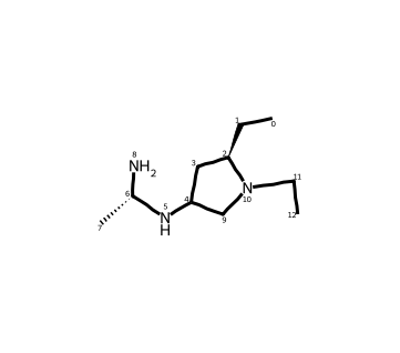 CC[C@@H]1CC(N[C@H](C)N)CN1CC